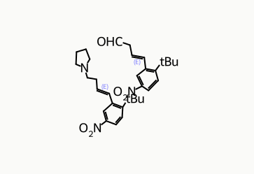 CC(C)(C)c1ccc([N+](=O)[O-])cc1/C=C/CC=O.CC(C)(C)c1ccc([N+](=O)[O-])cc1/C=C/CCN1CCCC1